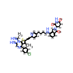 CC(=N)N1C(=N)CN=C(c2ccc(Cl)cc2)c2c1sc(C#Cc1ccc(CCCCNc3cccc4c3CN(C3CCC(=O)NC3=O)C4=O)cn1)c2C